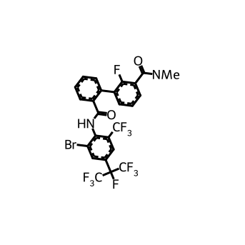 CNC(=O)c1cccc(-c2ccccc2C(=O)Nc2c(Br)cc(C(F)(C(F)(F)F)C(F)(F)F)cc2C(F)(F)F)c1F